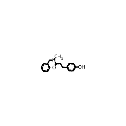 CN(Cc1ccccc1)C(=O)[CH]Cc1ccc(O)cc1